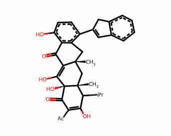 CC(=O)C1=C(O)C(C(C)C)[C@@]2(C)C[C@@]3(C)Cc4c(C5=Cc6ccccc6C5)ccc(O)c4C(=O)C3=C(O)[C@@]2(O)C1=O